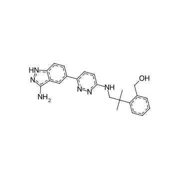 CC(C)(CNc1ccc(-c2ccc3[nH]nc(N)c3c2)nn1)c1ccccc1CO